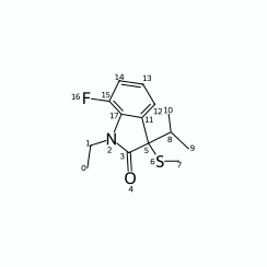 CCN1C(=O)C(SC)(C(C)C)c2cccc(F)c21